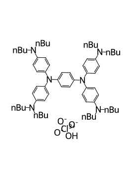 CCCCN(CCCC)c1ccc(N(c2ccc(N(CCCC)CCCC)cc2)c2ccc(N(c3ccc(N(CCCC)CCCC)cc3)c3ccc(N(CCCC)CCCC)cc3)cc2)cc1.[O-][Cl+3]([O-])([O-])O